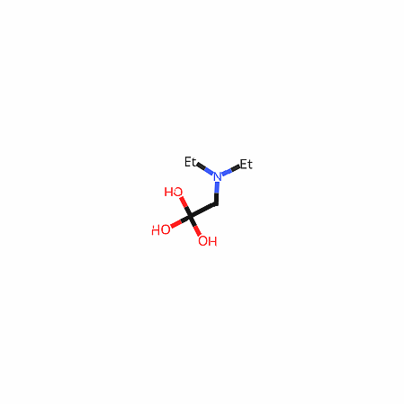 CCN(CC)CC(O)(O)O